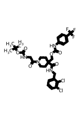 CC(C)(C)OC(=O)NCC(=O)N1CCC(COC(=O)Nc2ccc(C(F)(F)F)cc2)(C(=O)NCc2cccc(Cl)c2Cl)CC1